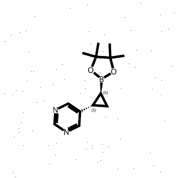 CC1(C)OB([C@H]2C[C@@H]2c2cncnc2)OC1(C)C